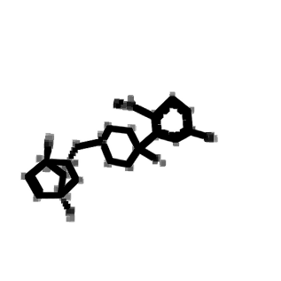 COc1ccc(Cl)cc1C1(F)CCN(C[C@@H]2C[C@H]3C=C[C@H]2C3)CC1